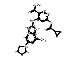 CNC(=O)c1nnc(NC(=O)C2CC2)cc1Nc1nc2c(C)cc(N3CCCC3)cn2n1